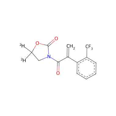 [2H]C1([2H])CN(C(=O)C(=C)c2ccccc2C(F)(F)F)C(=O)O1